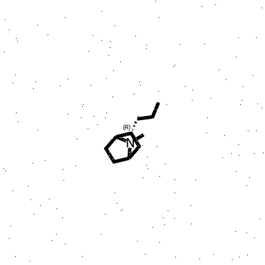 CCC[C@@H]1CC2CCC1N2C